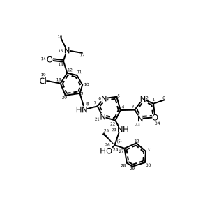 Cc1nc(-c2cnc(Nc3ccc(C(=O)N(C)C)c(Cl)c3)nc2N[C@@](C)(O)c2ccccc2)no1